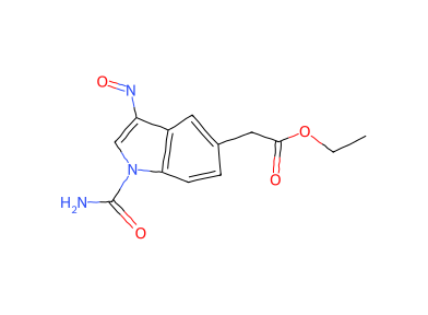 CCOC(=O)Cc1ccc2c(c1)c(N=O)cn2C(N)=O